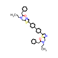 CCCN(Cc1ncc(-c2ccc(-c3ccc(-c4cnc(CN(CCC)C(=O)Cc5ccccc5)s4)cc3)cc2)s1)C(=O)Cc1ccccc1